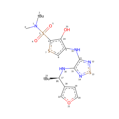 CN(C(C)(C)C)S(=O)(=O)c1scc(Nc2nsnc2N[C@@H](c2ccoc2)C(C)(C)C)c1O